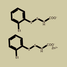 CCc1ccccc1SSNC(=O)[O-].CCc1ccccc1SSNC(=O)[O-].[Zn+2]